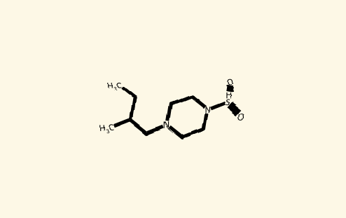 CCC(C)CN1CCN([SH](=O)=O)CC1